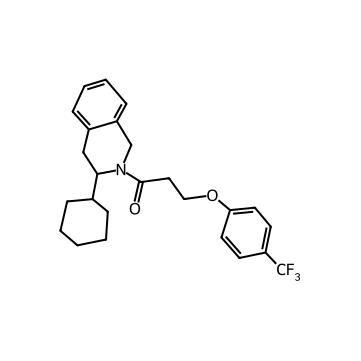 O=C(CCOc1ccc(C(F)(F)F)cc1)N1Cc2ccccc2CC1C1CCCCC1